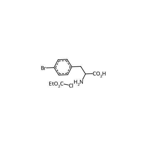 CCOC(=O)Cl.NC(Cc1ccc(Br)cc1)C(=O)O